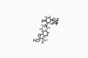 O=C(O)C1(c2ccc3c(c2)CCN(c2cc(OC(F)(F)F)ccc2F)C3)CC1